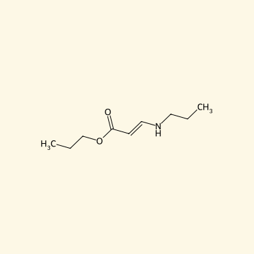 CCCNC=CC(=O)OCCC